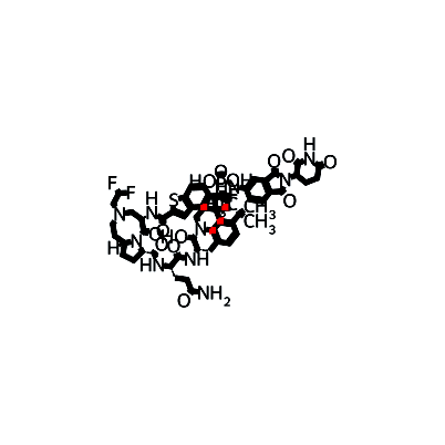 CC(C)(C)c1ccc(C[C@H](NC(=O)[C@H](CCC(N)=O)NC(=O)[C@@H]2CC[C@@H]3CCN(CC(F)F)C[C@H](NC(=O)c4cc5cc(C(F)(F)P(=O)(O)O)ccc5s4)C(=O)N32)C(O)N2CCC3(CC2)CC(Nc2ccc4c(c2)C(=O)N(C2CCC(=O)NC2=O)C4=O)C3)cc1